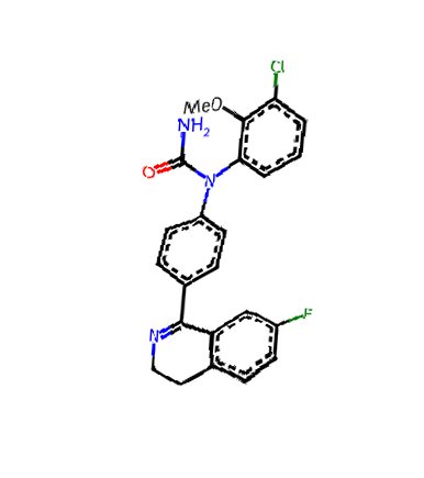 COc1c(Cl)cccc1N(C(N)=O)c1ccc(C2=NCCc3ccc(F)cc32)cc1